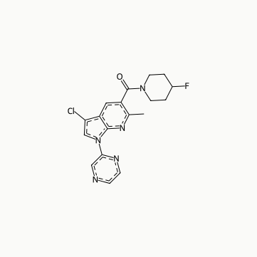 Cc1nc2c(cc1C(=O)N1CCC(F)CC1)c(Cl)cn2-c1cnccn1